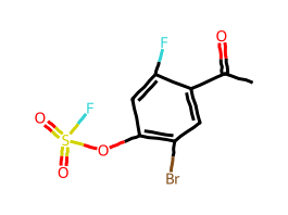 CC(=O)c1cc(Br)c(OS(=O)(=O)F)cc1F